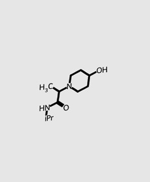 CC(C)NC(=O)C(C)N1CCC(O)CC1